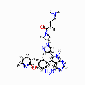 C/C(=C\CN(C)C)C(=O)N1CC(n2cc(-c3c(-c4ccc(Oc5cccc(C)n5)cc4)c4c(N)ncnc4n3C)cn2)C1